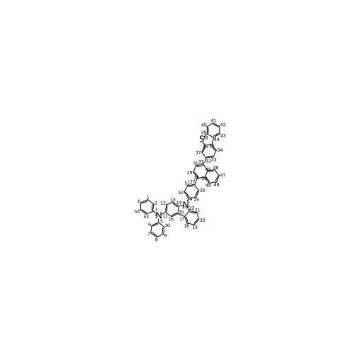 c1ccc(N(c2ccccc2)c2ccc3c(c2)c2ccccc2n3-c2ccc(-c3ccc(-c4ccc5c(c4)sc4ccccc45)c4ccccc34)cc2)cc1